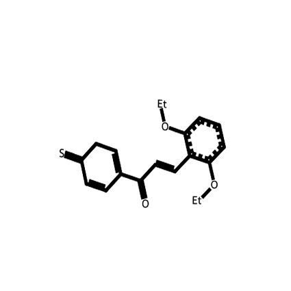 CCOc1cccc(OCC)c1C=CC(=O)C1=CCC(=S)C=C1